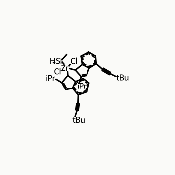 CC(C)C1=Cc2c(C#CC(C)(C)C)cccc2[CH]1[Zr]([Cl])([Cl])([CH]1C(C(C)C)=Cc2c(C#CC(C)(C)C)cccc21)[SiH](C)C